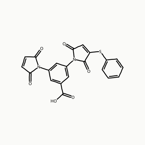 O=C(O)c1cc(N2C(=O)C=CC2=O)cc(N2C(=O)C=C(Sc3ccccc3)C2=O)c1